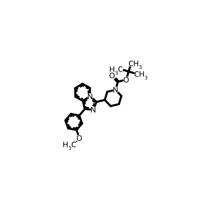 COc1cccc(-c2nc(C3CCCN(C(=O)OC(C)(C)C)C3)n3ccccc23)c1